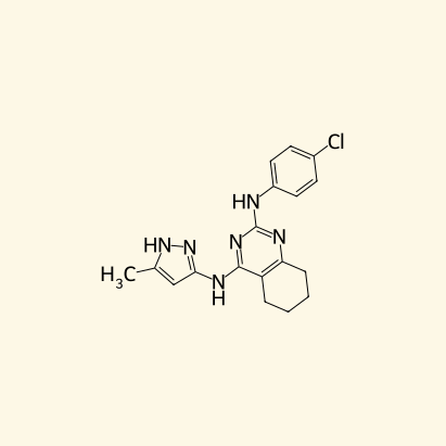 Cc1cc(Nc2nc(Nc3ccc(Cl)cc3)nc3c2CCCC3)n[nH]1